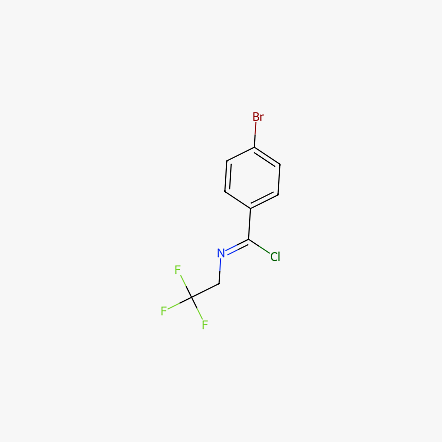 FC(F)(F)CN=C(Cl)c1ccc(Br)cc1